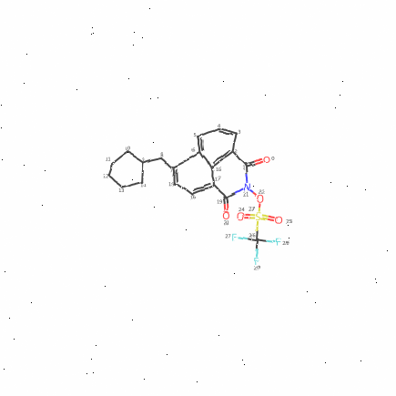 O=C1c2cccc3c(CC4CCCCC4)ccc(c23)C(=O)N1OS(=O)(=O)C(F)(F)F